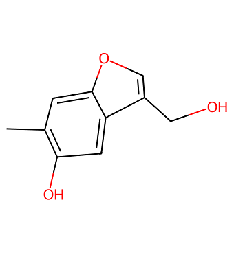 Cc1cc2occ(CO)c2cc1O